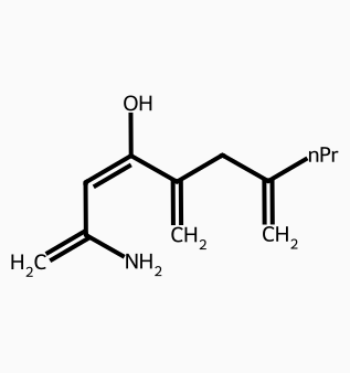 C=C(N)/C=C(/O)C(=C)CC(=C)CCC